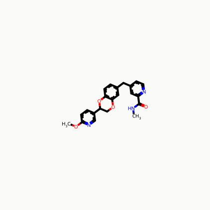 CNC(=O)c1cc(Cc2ccc3c(c2)OCC(c2ccc(OC)nc2)O3)ccn1